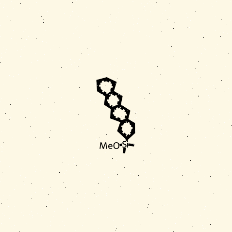 CO[Si](C)(C)c1ccc2cc3cc4ccccc4cc3cc2c1